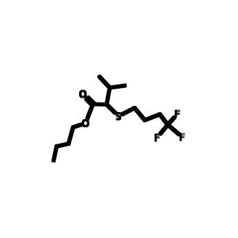 CCCCOC(=O)C(SCCCC(F)(F)F)C(C)C